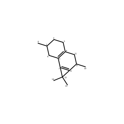 CC1CCC2=C(C1)C1=C(C(C)C2)C1(C)C